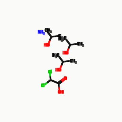 CC(C)O.CC(C)O.CC(C)O.N.O=C(O)C(Cl)Cl